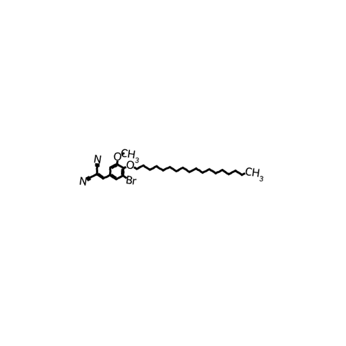 CCCCCCCCCCCCCCCCCCOc1c(Br)cc(C=C(C#N)C#N)cc1OC